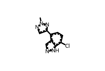 Cn1ncc(-c2ccc(Cl)c3[nH]ncc23)n1